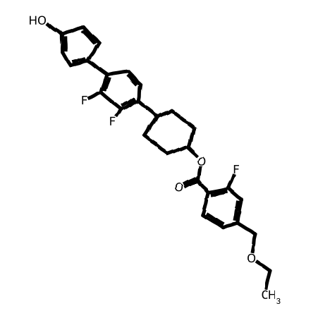 CCOCc1ccc(C(=O)OC2CCC(c3ccc(-c4ccc(O)cc4)c(F)c3F)CC2)c(F)c1